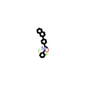 Fc1cccc(F)c1C1=NC(c2ccc(-c3ccc4ccccc4c3)cc2)CO1